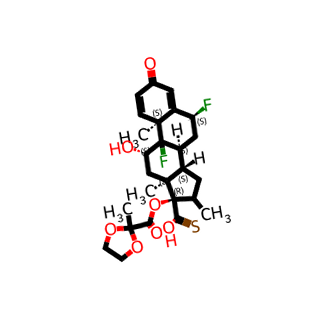 CC1C[C@H]2[C@@H]3C[C@H](F)C4=CC(=O)C=C[C@]4(C)C3(F)[C@@H](O)C[C@]2(C)[C@@]1(OC(=O)C1(C)OCCO1)C(O)=S